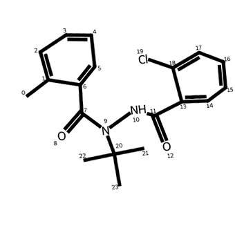 Cc1ccccc1C(=O)N(NC(=O)c1ccccc1Cl)C(C)(C)C